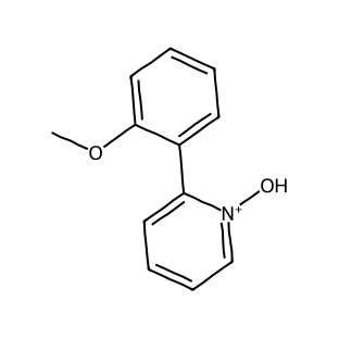 COc1ccccc1-c1cccc[n+]1O